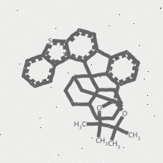 CC1(C)OB(c2cccc3c2C2(c4c-3ccc3sc5ccccc5c43)C3CCC4CCC(C3)CC42)OC1(C)C